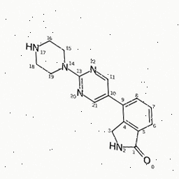 O=C1NCc2c1cccc2-c1cnc(N2CCNCC2)nc1